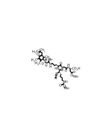 Cc1c(C)c(S(=O)(=O)NC(=N)NCCC[C@H](NC(=O)[C@H](CCCCNC(=O)OC(C)(C)C)N=[N+]=[N-])C(=O)NCC(=O)N[C@@H](CC(=O)OC(C)(C)C)C(=O)O)c(C)c2c1OC(C)(C)C2